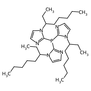 CCCCCC(CC)n1ccnc1P(c1nccn1C(CC)CCCCC)c1nccn1C(CC)CCCCC